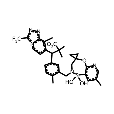 Cc1cnc2c(c1)S(O)(O)N(Cc1cc(C(c3ccn4c(C(F)(F)F)nnc4c3C)C(C)(C)C(=O)O)ccc1C)CC1(CC1)O2